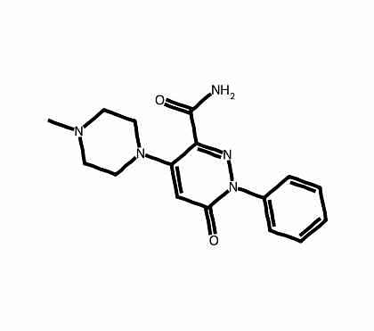 CN1CCN(c2cc(=O)n(-c3ccccc3)nc2C(N)=O)CC1